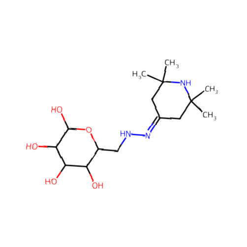 CC1(C)CC(=NNCC2OC(O)C(O)C(O)C2O)CC(C)(C)N1